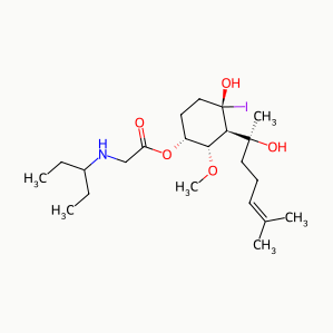 CCC(CC)NCC(=O)O[C@@H]1CC[C@](O)(I)[C@@H]([C@@](C)(O)CCC=C(C)C)[C@@H]1OC